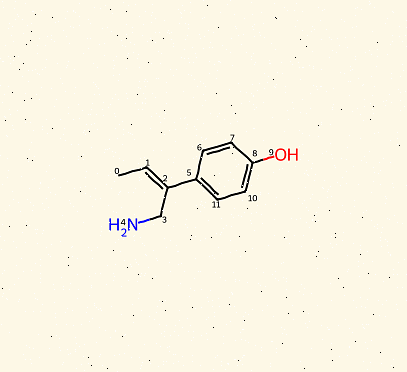 CC=C(CN)c1ccc(O)cc1